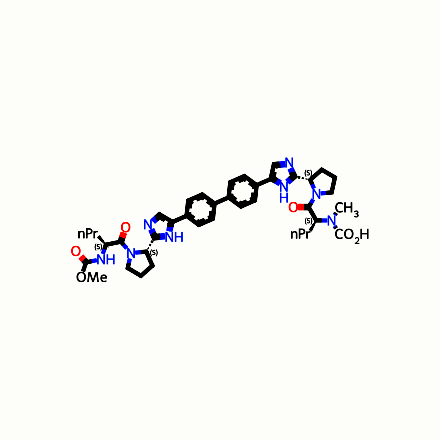 CCC[C@H](NC(=O)OC)C(=O)N1CCC[C@H]1c1ncc(-c2ccc(-c3ccc(-c4cnc([C@@H]5CCCN5C(=O)[C@H](CCC)N(C)C(=O)O)[nH]4)cc3)cc2)[nH]1